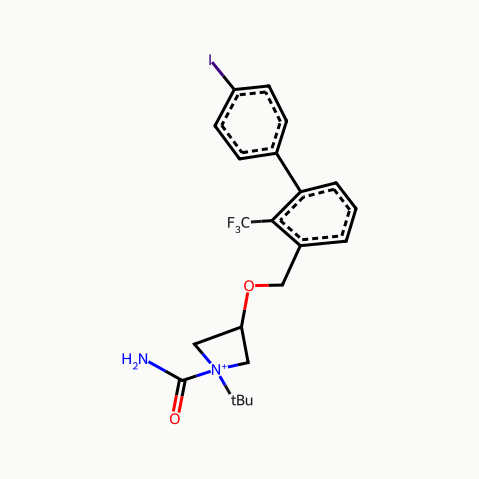 CC(C)(C)[N+]1(C(N)=O)CC(OCc2cccc(-c3ccc(I)cc3)c2C(F)(F)F)C1